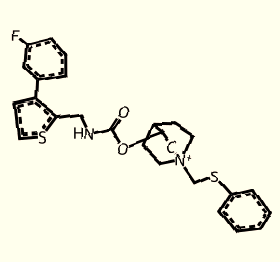 O=C(NCc1sccc1-c1cccc(F)c1)OC1C[N+]2(CSc3ccccc3)CCC1CC2